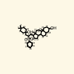 CC1(C)CCC(O)(CC(CC2CCC3C4CCC5CC(O)CCC5(C)C4CCC23C)S(=O)(=O)c2ccccc2)CC1